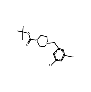 CC(C)(C)OC(=O)N1CCN(Cc2cc(Cl)cc(Cl)c2)CC1